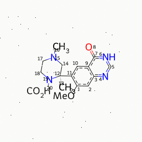 COc1cc2nc[nH]c(=O)c2cc1[C@]1(C)CN(C)CCN1C(=O)O